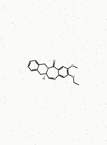 CCOc1cc2c(cc1OC)C(=O)N1Cc3ccccc3C[C@@H]1C=N2